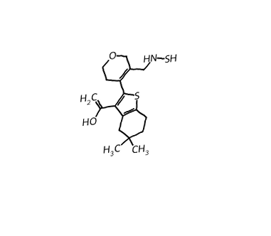 C=C(O)c1c(C2=C(CNS)COCC2)sc2c1CC(C)(C)CC2